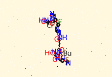 Cc1ncsc1-c1ccc(CNC(=O)[C@@H]2C[C@@H](O)CN2C(=O)[C@@H](NC(=O)CCCCCCC(=O)NCCN2CCN(Cc3ccc(F)c(-c4ccc(N5C[C@@H](C)N(C)[C@@H](C)C5)c(NC(=O)c5c[nH]c(=O)cc5C(F)(F)F)c4)c3)CC2)C(C)(C)C)cc1